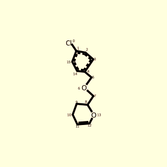 Clc1ccc(COCC2CCC=CO2)cc1